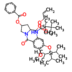 C=CCOC(=O)Nc1cc(O[Si](C(C)C)(C(C)C)C(C)C)c(OC)cc1C(=O)N1CC(OC(=O)c2ccccc2)CC1CO[Si](C)(C)C(C)(C)C